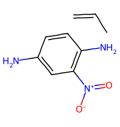 C=CC.Nc1ccc(N)c([N+](=O)[O-])c1